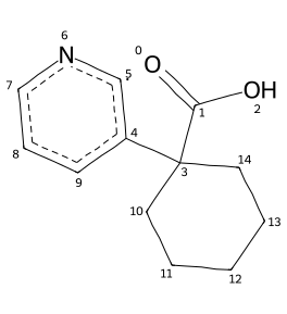 O=C(O)C1(c2[c]nccc2)CCCCC1